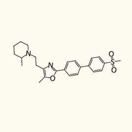 Cc1oc(-c2ccc(-c3ccc(S(C)(=O)=O)cc3)cc2)nc1CCN1CCCCC1C